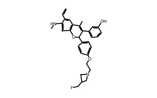 C=Cc1cc2c(cc1NC)OC(c1ccc(OCCN3CC(CF)C3)cc1)C(c1cccc(O)c1)=C2C